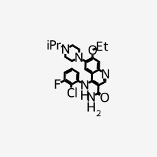 CCOc1cc2ncc(C(N)=O)c(Nc3cccc(F)c3Cl)c2cc1N1CCN(C(C)C)CC1